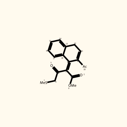 COC(=O)C(C(=O)CSC)=C1C(C(C)=O)=CCc2ccccc21